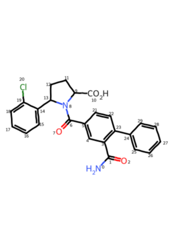 NC(=O)c1cc(C(=O)N2C(C(=O)O)CCC2c2ccccc2Cl)ccc1-c1ccccc1